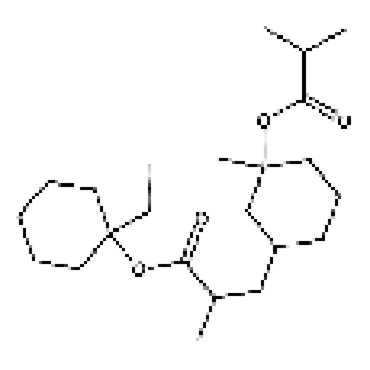 CCC1(OC(=O)C(C)CC2CCCC(C)(OC(=O)C(C)C)C2)CCCCC1